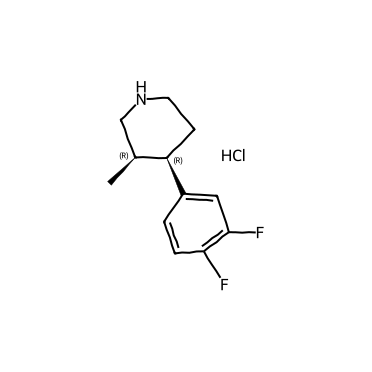 C[C@H]1CNCC[C@H]1c1ccc(F)c(F)c1.Cl